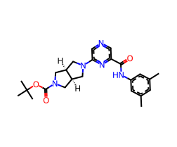 Cc1cc(C)cc(NC(=O)c2cncc(N3C[C@H]4CN(C(=O)OC(C)(C)C)C[C@H]4C3)n2)c1